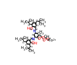 CC(=O)[O-].CC(=O)[O-].CC(C)Cc1cc(C=Nc2cccc(N=Cc3cc(CC(C)C)cc(CC(C)C)c3O)c2)c(O)c(CC(C)C)c1.[Co+2]